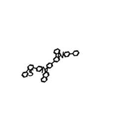 C1=CCC(c2ccc(-n3c4ccccc4c4cc(-c5ccc(N(c6ccc(-c7cccc8c7sc7ccccc78)cc6)c6ccc7ccccc7c6)cc5)ccc43)cc2)C=C1